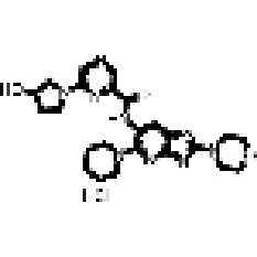 Cl.O=C(Nc1cc2sc(N3CCOCC3)nc2nc1N1CCCCC1)c1cncc(N2CCC(O)C2)n1